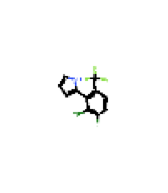 FC(F)(F)c1ccc(Cl)c(Cl)c1-c1ccc[nH]1